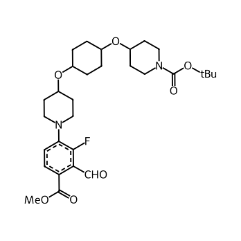 COC(=O)c1ccc(N2CCC(OC3CCC(OC4CCN(C(=O)OC(C)(C)C)CC4)CC3)CC2)c(F)c1C=O